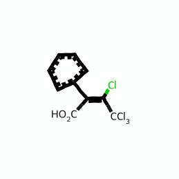 O=C(O)C(=C(Cl)C(Cl)(Cl)Cl)c1ccccc1